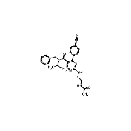 CC(=O)NCCNc1ncc(C(=O)N(Cc2ccccc2)C(C)C)c(-c2ccc(C#N)cc2)n1